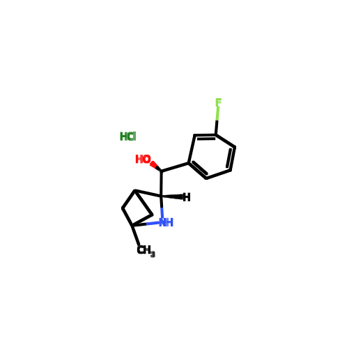 CC12CC(C1)[C@H]([C@@H](O)c1cccc(F)c1)N2.Cl